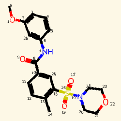 COc1cccc(NC(=O)c2ccc(C)c(S(=O)(=O)N3CCOCC3)c2)c1